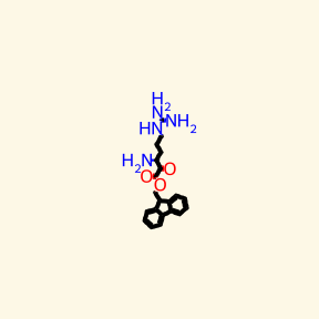 NC(N)NCCC[C@H](N)C(=O)C(=O)OCC1c2ccccc2-c2ccccc21